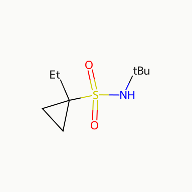 CCC1(S(=O)(=O)NC(C)(C)C)CC1